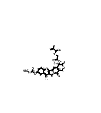 C=C(C)C(=O)OCC(=O)O[C@]1(CC)C(=O)OCc2c1cc1n(c2=O)Cc2c-1nc1ccc(OC(=O)OC(C)(C)C)cc1c2CC